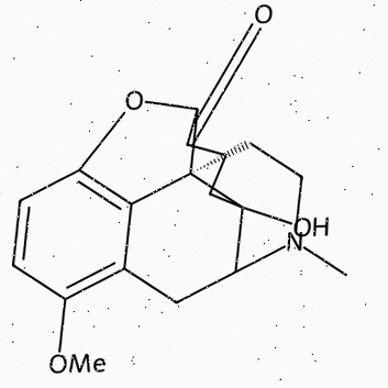 COc1ccc2c3c1CC1N(C)CC[C@@]34C(O2)C(=O)CCC14O